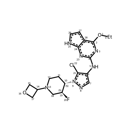 CCOc1nc(Nc2cnn([C@H]3CCN(C4COC4)C[C@@H]3F)c2Cl)nc2[nH]ccc12